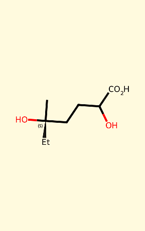 CC[C@](C)(O)CCC(O)C(=O)O